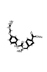 CCCCN(Cc1ccc(C(=O)OC)cc1)C(=O)Nc1ccc(OCN=[N+]=[N-])cc1